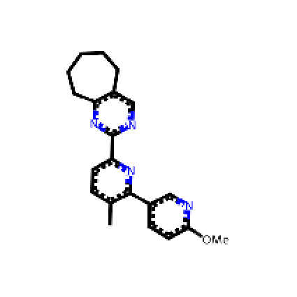 COc1ccc(-c2nc(-c3ncc4c(n3)CCCCC4)ccc2C)cn1